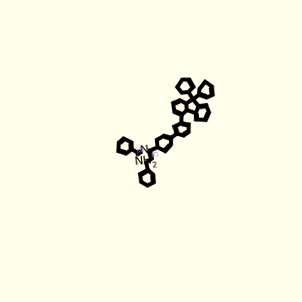 N/C(=N\C(=C/CC1=CCCC=C1)C1C=CC(c2cccc(C3=CC=CC4C3c3ccccc3C4(C3=CC=CCC3)C3C=CCCC3)c2)=CC1)c1ccccc1